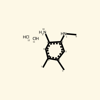 CNc1cc(C)c(C)cc1N.Cl.Cl